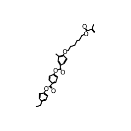 C=C(C)C(=O)OCCCCCCOc1ccc(C(=O)Oc2ccc(C(=O)Oc3ccc(CC)cc3)cc2)cc1C